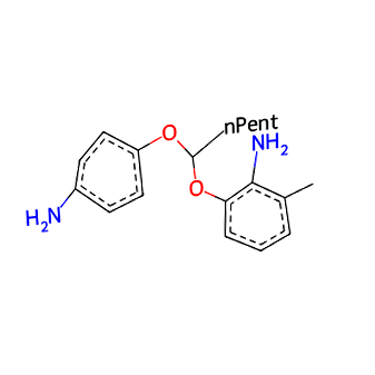 CCCCCC(Oc1ccc(N)cc1)Oc1cccc(C)c1N